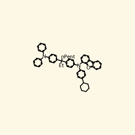 CCCCCC(CC)(c1ccc(N(c2ccccc2)c2ccccc2)cc1)c1ccc(N(c2ccc(C3CCCCC3)cc2)c2cccc3c2oc2ccccc23)cc1